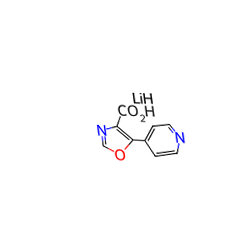 O=C(O)c1ncoc1-c1ccncc1.[LiH]